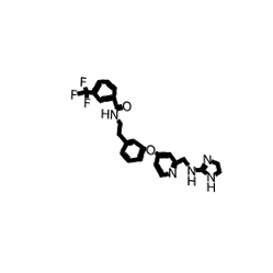 O=C(NCCc1cccc(Oc2ccnc(CNC3=NCCN3)c2)c1)c1cccc(C(F)(F)F)c1